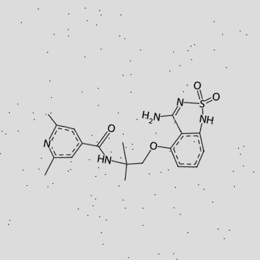 Cc1cc(C(=O)NC(C)(C)COc2cccc3c2C(N)=NS(=O)(=O)N3)cc(C)n1